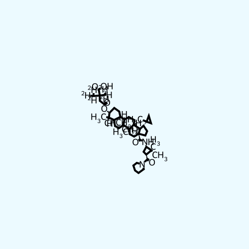 [2H]C([2H])([2H])C(CC(=O)O[C@H]1CC[C@]2(C)[C@H]3CC[C@@H]4[C@H]5[C@H](C6(C)CC6)CC[C@]5(C(=O)N[C@@H]5C[C@H](C(=O)N6CCCCC6)C5(C)C)CC[C@@]4(C)[C@]3(C)CC[C@H]2C1(C)C)(C(=O)O)C([2H])([2H])[2H]